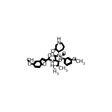 COc1cccc(S(=O)(=O)N(C(=O)C(CC(C)C)NC(=O)c2cc3cc(OC)ccc3o2)[C@H]2CCCNCC2=O)c1